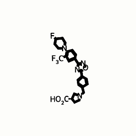 O=C(O)[C@@H]1CCN(Cc2ccc(-c3nc(-c4ccc(N5CCC(F)CC5)c(C(F)(F)F)c4)no3)cc2)C1